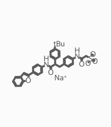 CC(C)(C)c1ccc(C(Cc2ccc(NC(=O)CS(=O)(=O)[O-])cc2)C(=O)Nc2ccc(-c3cc4ccccc4o3)cc2)cc1.[Na+]